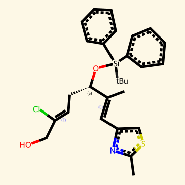 C/C(=C\c1csc(C)n1)[C@H](C/C=C(\Cl)CO)O[Si](c1ccccc1)(c1ccccc1)C(C)(C)C